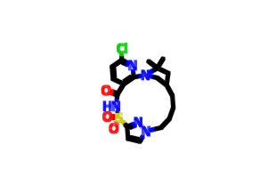 CC1(C)CC2CCCCn3ccc(n3)S(=O)(=O)NC(=O)c3ccc(Cl)nc3N1C2